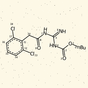 CCCCOC(=O)NC(=N)NC(=O)Cc1c(Cl)cccc1Cl